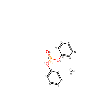 O=[PH](Oc1ccccc1)Oc1ccccc1.[Co]